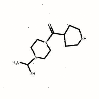 CC(S)N1CCN(C(=O)C2CCNCC2)CC1